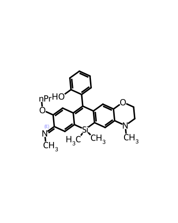 CCCOC1=CC2=C(c3ccccc3O)c3cc4c(cc3[Si](C)(C)C2=C/C1=N\C)N(C)CCO4